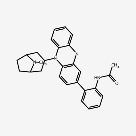 CC(=O)Nc1ccccc1-c1ccc2c(c1)Sc1ccccc1N2C1CC2CCC(C1)N2C